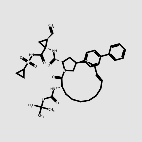 C=C[C@@H]1C[C@]1(NC(=O)[C@@H]1C[C@@]2(c3ccc(-c4ccccc4)cc3)CN1C(=O)[C@@H](NC(=O)OC(C)(C)C)CCCCCC/C=C/CS2)C(=O)NS(=O)(=O)C1CC1